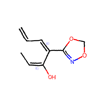 C=C/C=C(C1=NOCO1)\C(O)=C/C